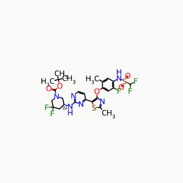 Cc1nc(Oc2cc(F)c(NS(=O)(=O)C(F)F)cc2C)c(-c2ccnc(N[C@@H]3CN(C(=O)OC(C)(C)C)CC(F)(F)C3)n2)s1